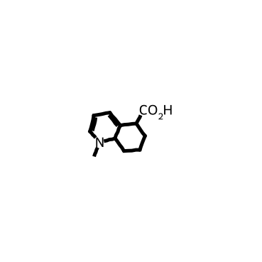 CN1C=CC=C2C(C(=O)O)CCCC21